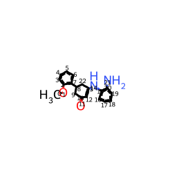 COc1ccccc1C1CC(=O)C=C(Nc2ccccc2N)C1